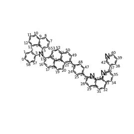 c1ccc(N(c2cccc3ccccc23)c2ccc3ccc4c(-c5ccc(-c6ccc7ccc8ccc(-c9cccnc9)nc8c7n6)cc5)ccc5ccc2c3c54)cc1